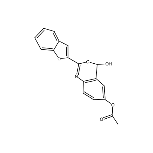 CC(=O)Oc1ccc2c(c1)C(O)OC(c1cc3ccccc3o1)=N2